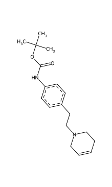 CC(C)(C)OC(=O)Nc1ccc(CCN2CC=CCC2)cc1